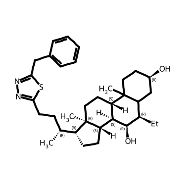 CC[C@@H]1C2C[C@H](O)CCC2(C)[C@H]2CC[C@]3(C)[C@@H]([C@H](C)CCc4nnc(Cc5ccccc5)s4)CC[C@H]3[C@@H]2[C@@H]1O